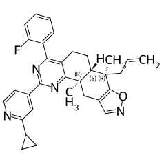 C=CC[C@@]1(C)c2oncc2C[C@@]2(C)c3nc(-c4ccnc(C5CC5)c4)nc(-c4ccccc4F)c3CC[C@@H]21